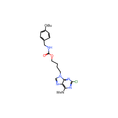 CNc1nc(Cl)nc2c1ncn2CCCCOC(=O)NCc1ccc(OCC(C)C)cc1